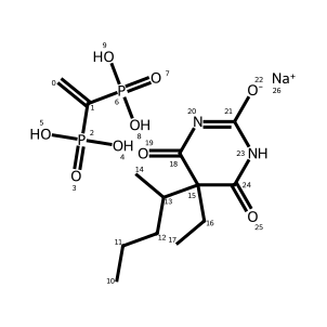 C=C(P(=O)(O)O)P(=O)(O)O.CCCC(C)C1(CC)C(=O)N=C([O-])NC1=O.[Na+]